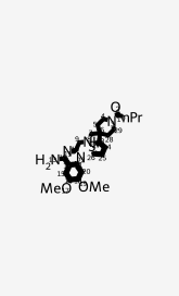 CCCC(=O)N1CCC(CNCc2nc(N)c3cc(OC)c(OC)cc3n2)(c2cccs2)CC1